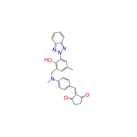 Cc1cc(CN(C)c2ccc(C=C3C(=O)CCC3=O)cc2)c(O)c(-n2nc3ccccc3n2)c1